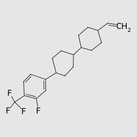 C=CC1CCC(C2CCC(c3ccc(C(F)(F)F)c(F)c3)CC2)CC1